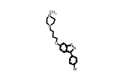 CN1CCN(CCCCOc2ccc3c(-c4ccc(Br)cc4)nsc3c2)CC1